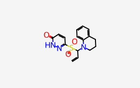 C=CC(N1CCCc2ccccc21)S(=O)(=O)c1ccc(=O)[nH]n1